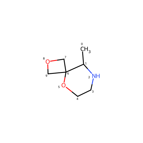 CC1NCCOC12COC2